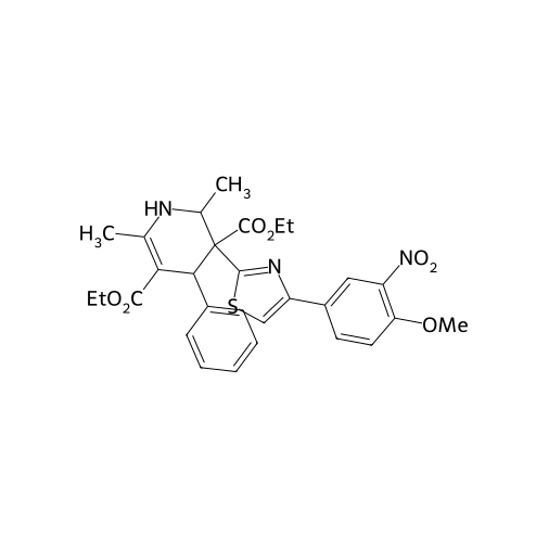 CCOC(=O)C1=C(C)NC(C)C(C(=O)OCC)(c2nc(-c3ccc(OC)c([N+](=O)[O-])c3)cs2)C1c1ccccc1